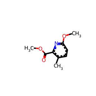 COC(=O)c1nc(OC)ccc1C